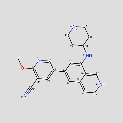 COc1ncc(-c2cc(NC3CCNCC3)c3c(c2)=CCNC=3)cc1C#N